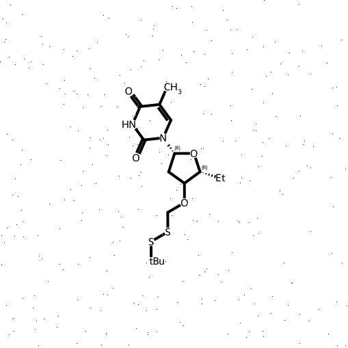 CC[C@H]1O[C@@H](n2cc(C)c(=O)[nH]c2=O)CC1OCSSC(C)(C)C